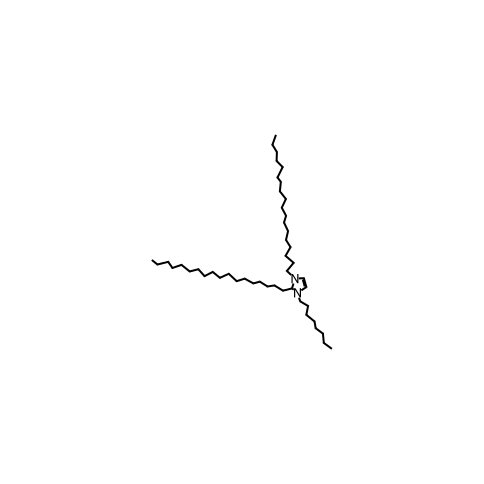 CCCCCCCCCCCCCCCCCCC1N(CCCCCCCC)C=CN1CCCCCCCCCCCCCCCCCC